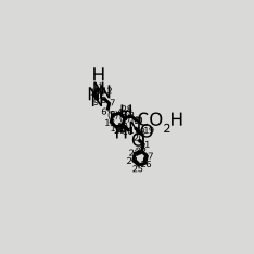 O=C(O)[C@@H]1C[C@H]2C[C@@H](CCc3nn[nH]n3)CC[C@H]2CN1C(=O)OCc1ccccc1